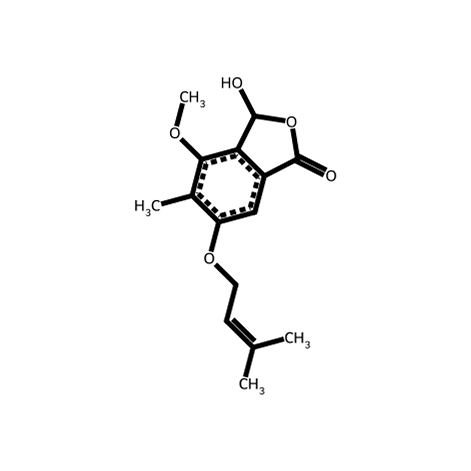 COc1c(C)c(OCC=C(C)C)cc2c1C(O)OC2=O